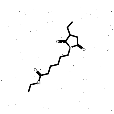 CCNC(=O)CCCCCN1C(=O)CC(CC)C1=O